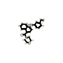 O=C(c1ccc(Nc2cccc(CF)c2)c2ccccc12)N1CCOCC1